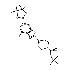 CC(C)(C)OC(=O)N1CC=C(c2nc3c(F)cc(B4OC(C)(C)C(C)(C)O4)cc3s2)CC1